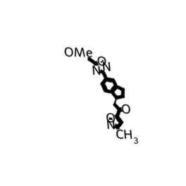 COCc1nc(-c2ccc3c(c2)CC[C@H]3CC(=O)c2cc(C)no2)no1